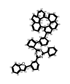 c1ccc(-c2nc(-c3cccc(-c4cc5ccccc5o4)c3)nc(-c3ccccc3-c3cccc(-c4cc5ccc6cccc7c8cccc9ccc%10cccc(c(c4)c5c67)c%10c98)c3)n2)cc1